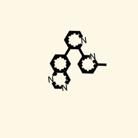 Cc1cccc(-c2ncccc2-c2ccc3ncncc3c2)n1